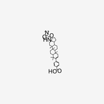 CN(C)C(=O)C(=O)NC12CCCC1C1CCC3C4(C)CC=C(c5ccc(C(=O)O)cc5)C(C)(C)C4CCC3(C)[C@]1(C)CC2